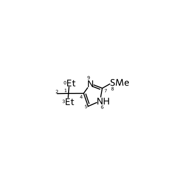 CCC(C)(CC)c1c[nH]c(SC)n1